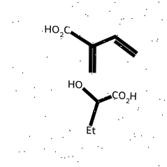 C=CC(=C)C(=O)O.CCC(O)C(=O)O